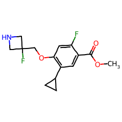 COC(=O)c1cc(C2CC2)c(OCC2(F)CNC2)cc1F